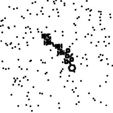 CC(OC(=O)NCCNCCNCCN)OC(=O)C1CCCCC1